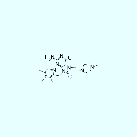 Cc1cnc(Cn2c(=O)n(CCN3CCN(C)CC3)c3c(Cl)nc(N)nc32)c(C)c1I